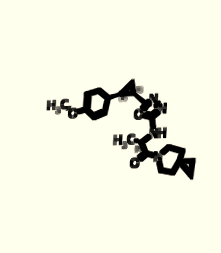 COC1=CCC([C@H]2C[C@H]2c2nnc(N[C@H](C)C(=O)N3CCC4(CC3)CC4)o2)C=C1